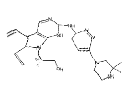 C=CC1C2=C(NC(NC3CC=C(N4CCNC(C)(C)C4)N=N3)N=C2)N([C@@H](C)CO)C1C=C